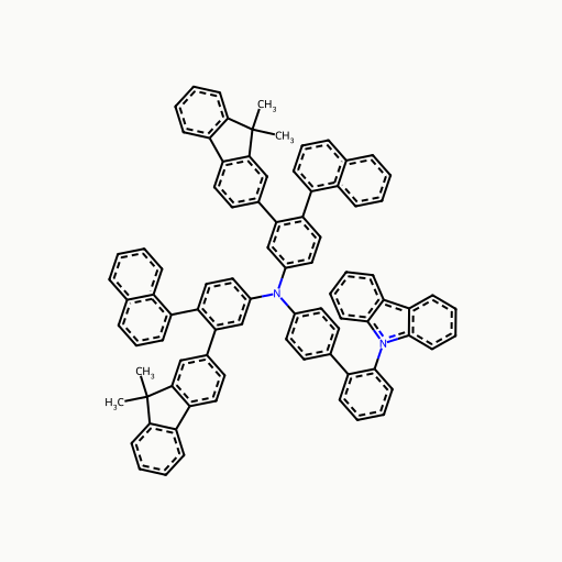 CC1(C)c2ccccc2-c2ccc(-c3cc(N(c4ccc(-c5ccccc5-n5c6ccccc6c6ccccc65)cc4)c4ccc(-c5cccc6ccccc56)c(-c5ccc6c(c5)C(C)(C)c5ccccc5-6)c4)ccc3-c3cccc4ccccc34)cc21